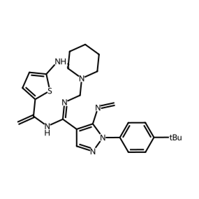 C=Nc1c(/C(=N\CN2CCCCC2)NC(=C)c2ccc(N)s2)cnn1-c1ccc(C(C)(C)C)cc1